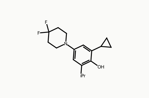 CC(C)c1cc(N2CCC(F)(F)CC2)cc(C2CC2)c1O